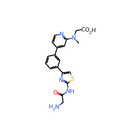 CN(CC(=O)O)c1cc(-c2cccc(-c3csc(NC(=O)CN)n3)c2)ccn1